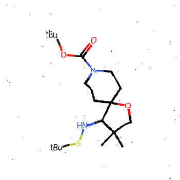 CC(C)(C)OC(=O)N1CCC2(CC1)OCC(C)(C)C2NSC(C)(C)C